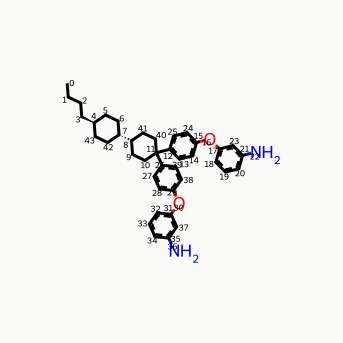 CCCC[C@H]1CC[C@H](C2CCC(c3ccc(Oc4cccc(N)c4)cc3)(c3ccc(Oc4cccc(N)c4)cc3)CC2)CC1